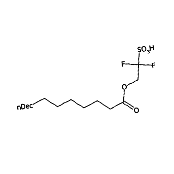 CCCCCCCCCCCCCCCCC(=O)OCC(F)(F)S(=O)(=O)O